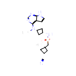 CN(c1ncnc2[nH]ccc12)[C@H]1C[C@@H](NS(=O)(=O)C[C@]2(C)C[C@H](C#N)C2)C1